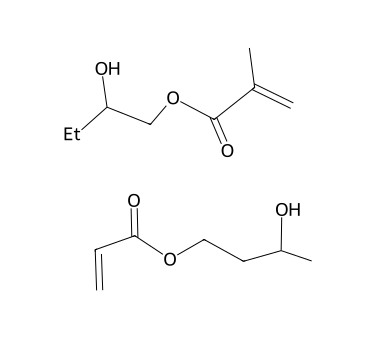 C=C(C)C(=O)OCC(O)CC.C=CC(=O)OCCC(C)O